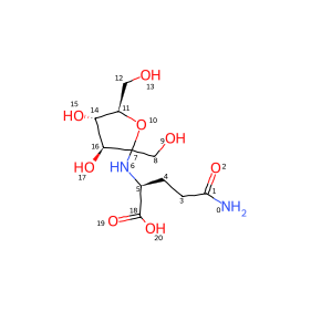 NC(=O)CC[C@H](NC1(CO)O[C@H](CO)[C@@H](O)[C@@H]1O)C(=O)O